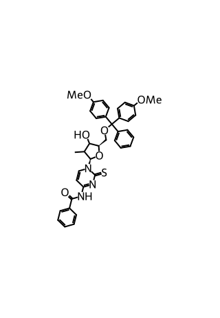 COc1ccc(C(OC[C@H]2O[C@@H](n3ccc(NC(=O)c4ccccc4)nc3=S)C(C)C2O)(c2ccccc2)c2ccc(OC)cc2)cc1